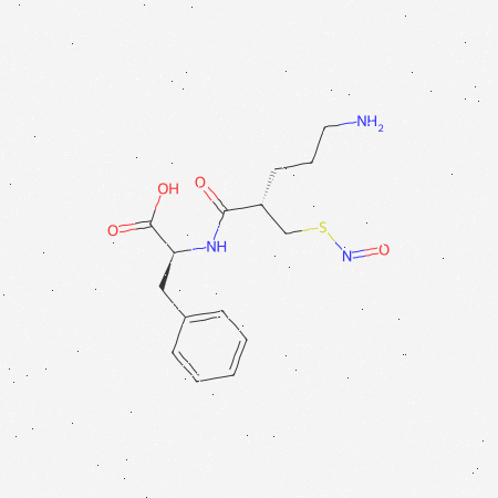 NCCC[C@H](CSN=O)C(=O)N[C@@H](Cc1ccccc1)C(=O)O